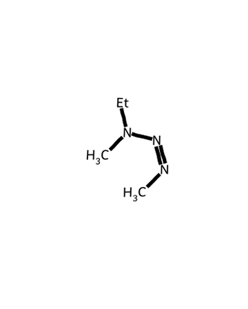 CCN(C)/N=N\C